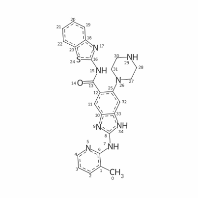 Cc1cccnc1Nc1nc2cc(C(=O)Nc3nc4ccccc4s3)c(N3CCNCC3)cc2[nH]1